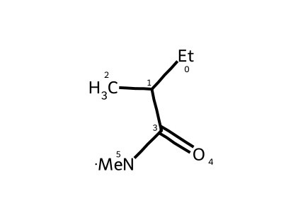 CCC(C)C(=O)[N]C